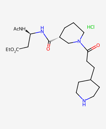 CCOC(=O)C[C@@H](NC(C)=O)NC(=O)[C@@H]1CCCN(C(=O)CCC2CCNCC2)C1.Cl